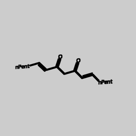 CCCCC/C=C/C(=O)CC(=O)/C=C/CCCCC